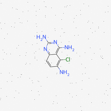 Nc1nc(N)c2c(Cl)c(N)ccc2n1